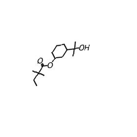 CCC(C)(C)C(=O)OC1CCCC(C(C)(C)O)C1